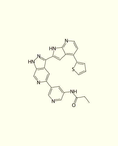 CCC(=O)Nc1cncc(-c2cc3c(-c4cc5c(-c6cccs6)ccnc5[nH]4)n[nH]c3cn2)c1